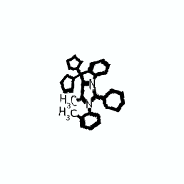 Cc1ccccc1N1C(C2CCCCC2)N2c3ccccc3C(C3CCCC3)(C3CCCC3)C2[C@@H]1C